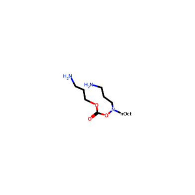 CCCCCCCCN(CCCN)OC(=O)OCCCN